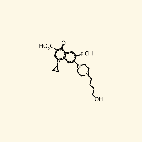 Cl.O=C(O)c1cn(C2CC2)c2cc(N3CCN(CCCCO)CC3)c(F)cc2c1=O